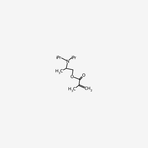 C=C(C)C(=O)OCC(C)N(C(C)C)C(C)C